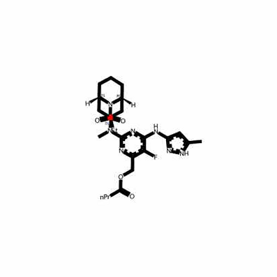 CCCC(=O)OCc1nc(N(C)[C@@H]2C[C@H]3CCC[C@@H](C2)N3S(=O)(=O)CC)nc(Nc2cc(C)[nH]n2)c1F